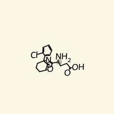 N[C@@H](CCC(=O)O)C1=NC2(c3ccccc3Cl)CCCC(O1)C2=O